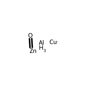 [AlH3].[Cu].[O]=[Zn]